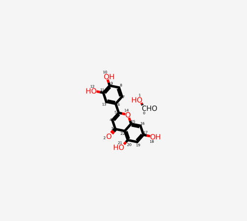 O=CO.O=c1cc(-c2ccc(O)c(O)c2)oc2cc(O)cc(O)c12